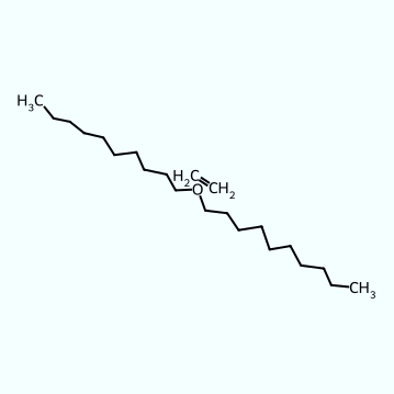 C=C.CCCCCCCCCCOCCCCCCCCCC